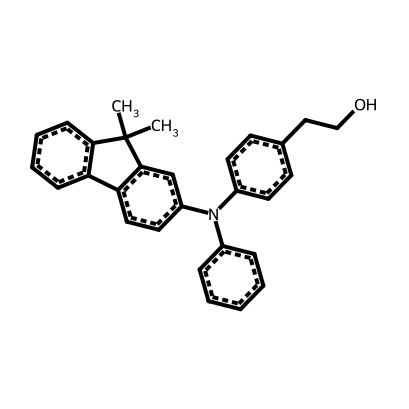 CC1(C)c2ccccc2-c2ccc(N(c3ccccc3)c3ccc(CCO)cc3)cc21